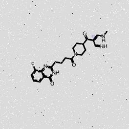 CN/C=C(\C=N)C(=O)C1CCN(C(=O)CCCc2nc3c(F)cccc3c(=O)[nH]2)CC1